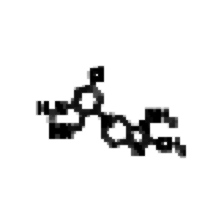 Cc1nc2c(n1N)CN(c1cc(Cl)cc(N)c1C=N)CC2